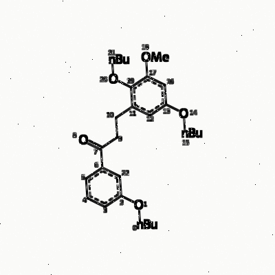 CCCCOc1cccc(C(=O)CCc2cc(OCCCC)cc(OC)c2OCCCC)c1